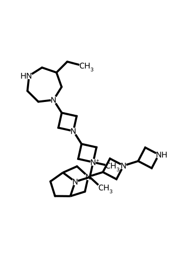 CCC1CNCCN(C2CN(C3C[N+](C)(C(C)N4C5CCC4CN(C4CN(C6CNC6)C4)C5)C3)C2)C1